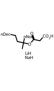 CCCCCCCCCCCCC(C)(CCCCCCCCC)OC(=O)CC(=O)O.[LiH].[NaH]